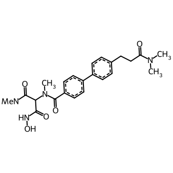 CNC(=O)C(C(=O)NO)N(C)C(=O)c1ccc(-c2ccc(CCC(=O)N(C)C)cc2)cc1